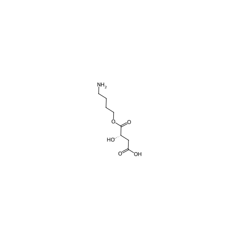 NCCCCOC(=O)[C@@H](O)CC(=O)O